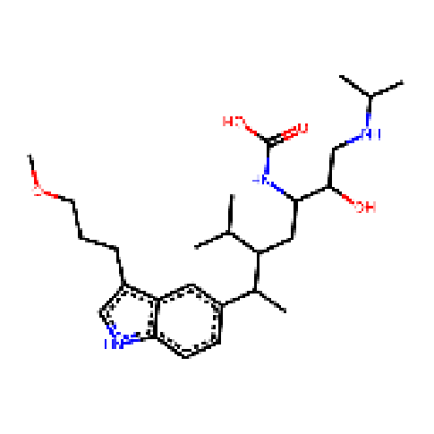 COCCCc1c[nH]c2ccc(C(C)C(CC(NC(=O)O)C(O)CNC(C)C)C(C)C)cc12